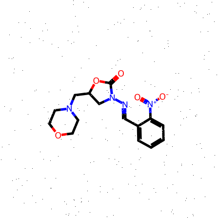 O=C1OC(CN2CCOCC2)CN1N=Cc1ccccc1[N+](=O)[O-]